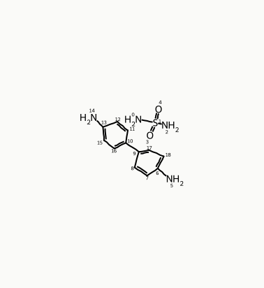 NS(N)(=O)=O.Nc1ccc(-c2ccc(N)cc2)cc1